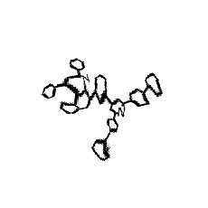 c1ccc(-c2ccc(-c3cc(-c4cccc(-c5cc6ccccc6c6c(-c7ccccc7)cc(-c7ccccc7)nc56)c4)cc(-c4ccc(-c5ccccc5)cc4)n3)cc2)cc1